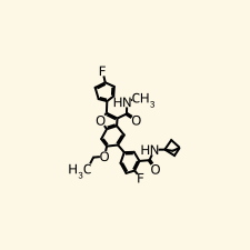 CCOc1cc2oc(-c3ccc(F)cc3)c(C(=O)NC)c2cc1-c1ccc(F)c(C(=O)NC23CC(C2)C3)c1